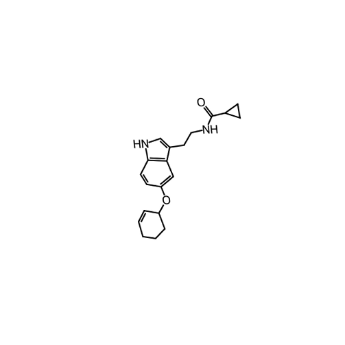 O=C(NCCc1c[nH]c2ccc(OC3C=CCCC3)cc12)C1CC1